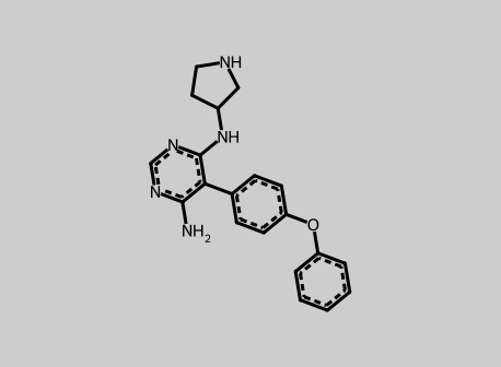 Nc1ncnc(NC2CCNC2)c1-c1ccc(Oc2ccccc2)cc1